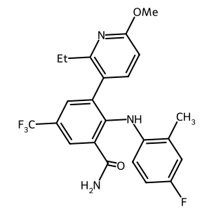 CCc1nc(OC)ccc1-c1cc(C(F)(F)F)cc(C(N)=O)c1Nc1ccc(F)cc1C